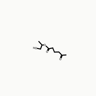 CC(=O)CCCC(=O)OC(C)CO